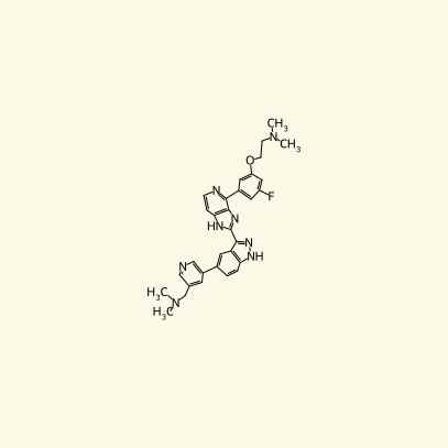 CN(C)CCOc1cc(F)cc(-c2nccc3[nH]c(-c4n[nH]c5ccc(-c6cncc(CN(C)C)c6)cc45)nc23)c1